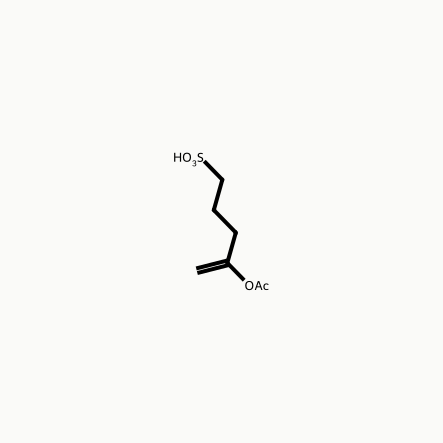 C=C(CCCS(=O)(=O)O)OC(C)=O